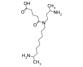 CC(N)CCCCCCCN(CCC(C)N)C(=O)CCCC(=O)O